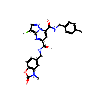 Cc1ccc(CNC(=O)c2cc(C(=O)NCc3ccc4oc(=O)n(C)c4c3)nc3c(F)cnn23)cc1